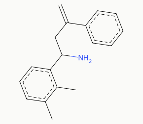 C=C(CC(N)c1cccc(C)c1C)c1ccccc1